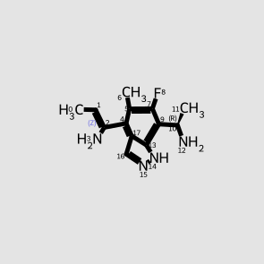 C/C=C(\N)c1c(C)c(F)c([C@@H](C)N)c2[nH]ncc12